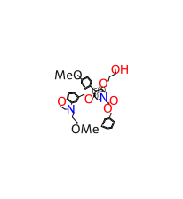 COCCCN1CCOc2ccc(CO[C@H]3CN(C(=O)OCc4ccccc4)C[C@@H](OCCCO)[C@@H]3c3ccc(OC)cc3)cc21